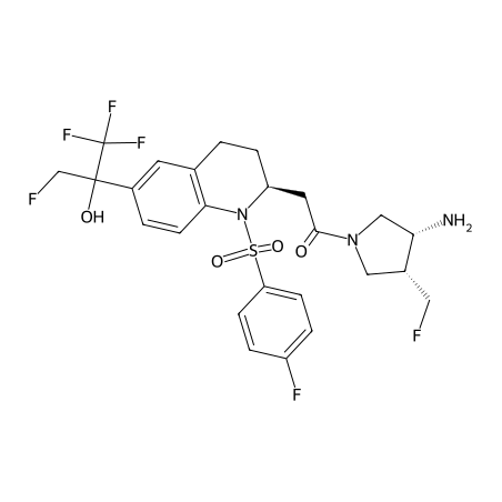 N[C@H]1CN(C(=O)C[C@@H]2CCc3cc(C(O)(CF)C(F)(F)F)ccc3N2S(=O)(=O)c2ccc(F)cc2)C[C@H]1CF